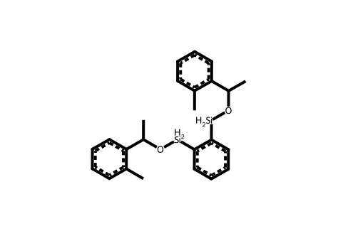 Cc1ccccc1C(C)O[SiH2]c1ccccc1[SiH2]OC(C)c1ccccc1C